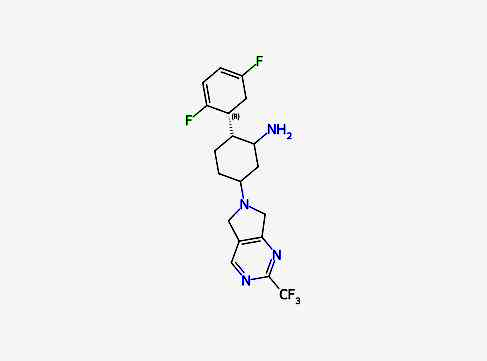 NC1CC(N2Cc3cnc(C(F)(F)F)nc3C2)CCC1[C@H]1CC(F)=CC=C1F